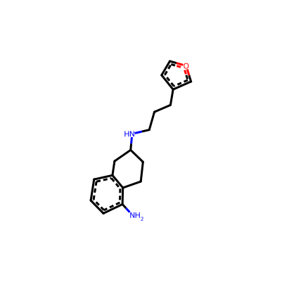 Nc1cccc2c1CCC(NCCCc1ccoc1)C2